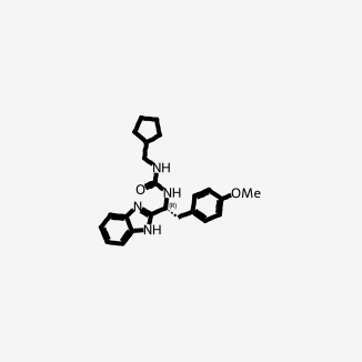 COc1ccc(C[C@@H](NC(=O)NCC2CCCC2)c2nc3ccccc3[nH]2)cc1